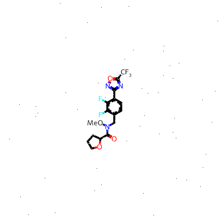 CON(Cc1ccc(-c2noc(C(F)(F)F)n2)c(F)c1F)C(=O)C1CCCO1